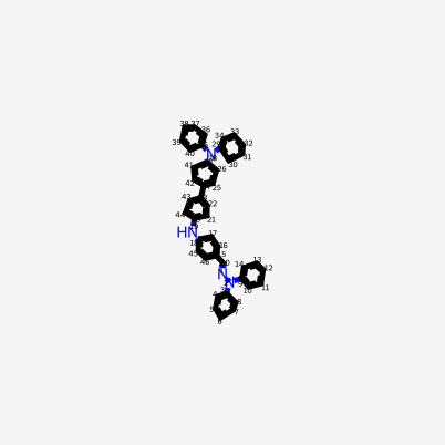 C(=NN(c1ccccc1)c1ccccc1)c1ccc(Nc2ccc(-c3ccc(N(c4ccccc4)c4ccccc4)cc3)cc2)cc1